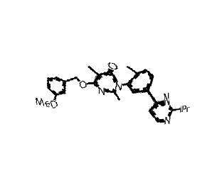 COc1cccc(COc2nc(C)n(-c3cc(-c4ccnc(C(C)C)n4)ccc3C)c(=O)c2C)c1